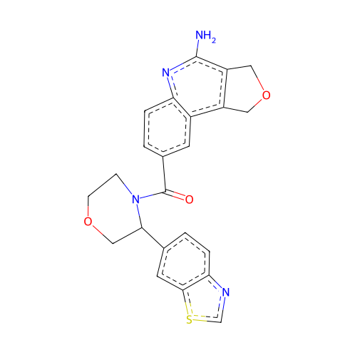 Nc1nc2ccc(C(=O)N3CCOCC3c3ccc4ncsc4c3)cc2c2c1COC2